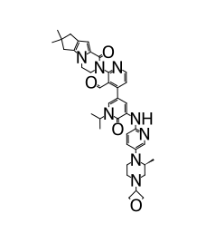 CC(C)n1cc(-c2ccnc(N3CCn4c(cc5c4CC(C)(C)C5)C3=O)c2C=O)cc(Nc2ccc(N3CCN(C4COC4)C[C@@H]3C)cn2)c1=O